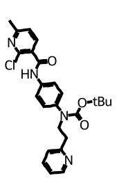 Cc1ccc(C(=O)Nc2ccc(N(CCc3ccccn3)C(=O)OC(C)(C)C)cc2)c(Cl)n1